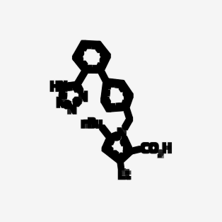 CCCCc1cc(CC)c(C(=O)O)n1Cc1ccc(-c2ccccc2-c2nnn[nH]2)cc1